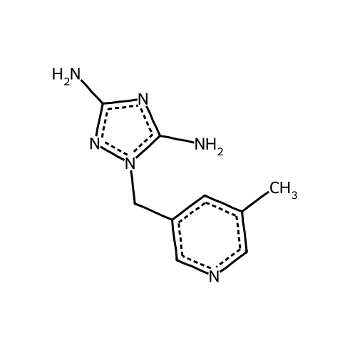 Cc1cncc(Cn2nc(N)nc2N)c1